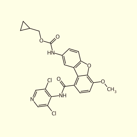 COc1ccc(C(=O)Nc2c(Cl)cncc2Cl)c2c1oc1ccc(NC(=O)OCC3CC3)cc12